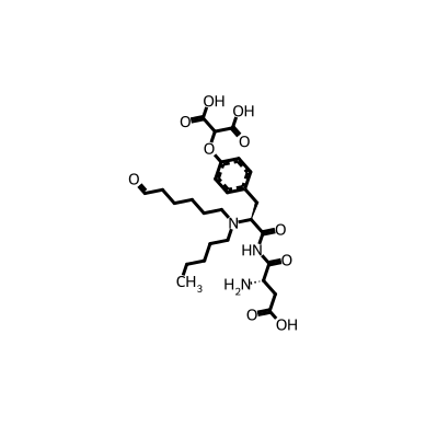 CCCCCN(CCCCCC=O)[C@@H](Cc1ccc(OC(C(=O)O)C(=O)O)cc1)C(=O)NC(=O)[C@@H](N)CC(=O)O